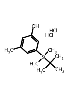 Cc1cc(O)cc([Si](C)(C)C(C)(C)C)c1.Cl.Cl